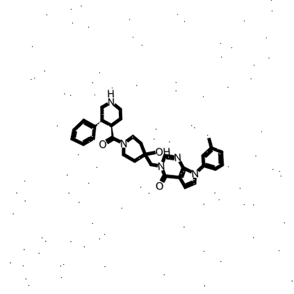 Cc1cccc(-n2ccc3c(=O)n(CC4(O)CCN(C(=O)[C@@H]5CCNC[C@H]5c5ccccc5)CC4)cnc32)c1